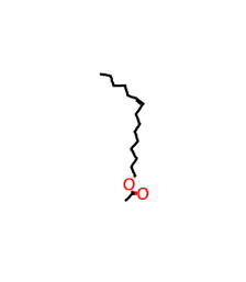 CCCCC/C=C\CCCCCCCCOC(C)=O